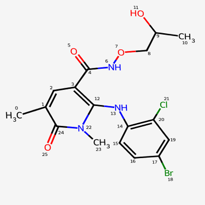 Cc1cc(C(=O)NOCC(C)O)c(Nc2ccc(Br)cc2Cl)n(C)c1=O